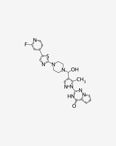 Cc1c(C(O)N2CCN(c3ncc(-c4ccnc(F)c4)s3)CC2)cnn1-c1nn2cccc2c(=O)[nH]1